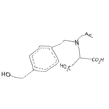 CC(=O)N(Cc1ccc(CO)cc1)C(C(=O)O)C(=O)O